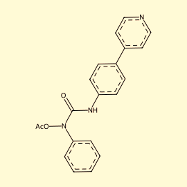 CC(=O)ON(C(=O)Nc1ccc(-c2ccncc2)cc1)c1ccccc1